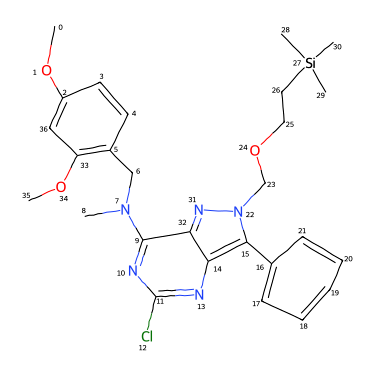 COc1ccc(CN(C)c2nc(Cl)nc3c(-c4ccccc4)n(COCC[Si](C)(C)C)nc23)c(OC)c1